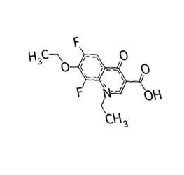 CCOc1c(F)cc2c(=O)c(C(=O)O)cn(CC)c2c1F